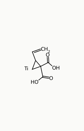 C=CC1CC1(C(=O)O)C(=O)O.[Ti]